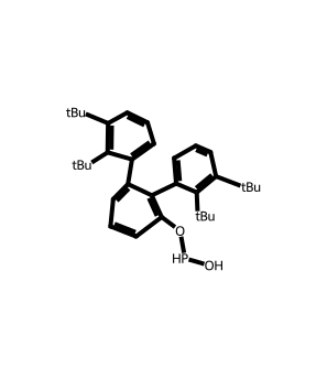 CC(C)(C)c1cccc(-c2cccc(OPO)c2-c2cccc(C(C)(C)C)c2C(C)(C)C)c1C(C)(C)C